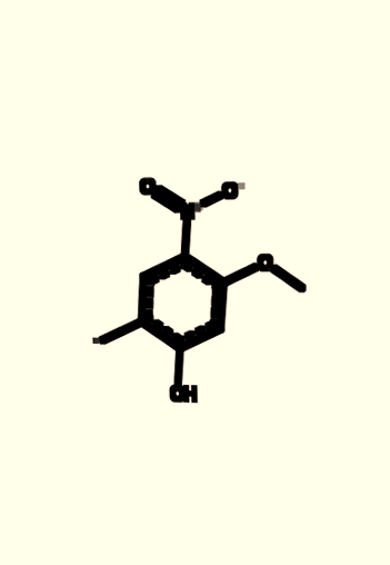 [CH2]c1cc([N+](=O)[O-])c(OC)cc1O